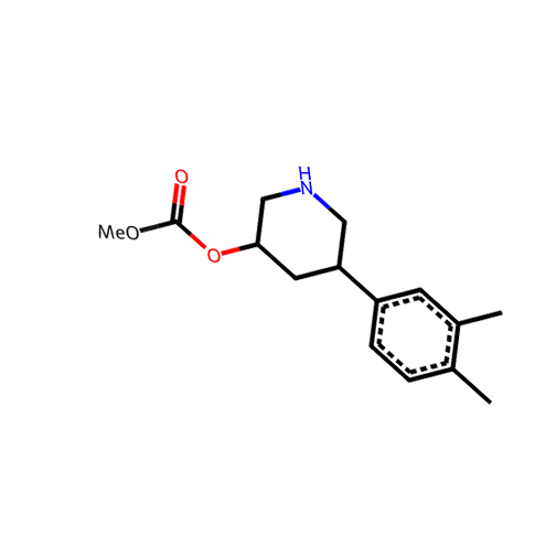 COC(=O)OC1CNCC(c2ccc(C)c(C)c2)C1